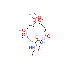 CCCNC1=C2CC(C)CC(OC)[C@@H](O)[C@H](C)/C=C(\C)C(OC(N)=O)C(OC)/C=C\C=C(/C)C(=O)NC(=CC1=O)C2=O